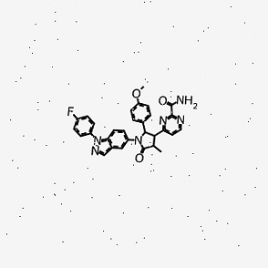 COc1ccc(C2C(c3ccnc(C(N)=O)n3)C(C)C(=O)N2c2ccc3c(cnn3-c3ccc(F)cc3)c2)cc1